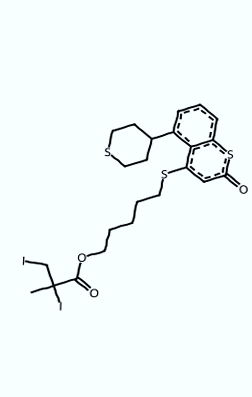 CC(I)(CI)C(=O)OCCCCCSc1cc(=O)sc2cccc(C3CCSCC3)c12